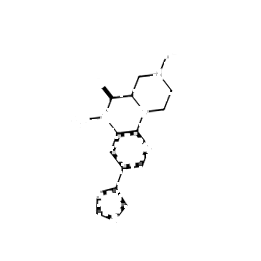 CC(C)N1CCN2c3ncc(-c4cnco4)cc3N(C)C(=O)C2C1